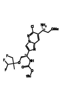 COC[C@@H](N)c1cc2nc([C@H](COC(C)(CF)C(F)F)NC(=O)OC(C)(C)C)cn2nc1Cl